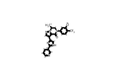 CC1CN(c2ccc(C(F)(F)F)c(Cl)c2)C(=O)c2c(-c3c[nH]c(-c4cccnc4)n3)cnn21